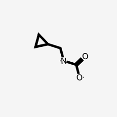 [O]C(=O)[N]CC1CC1